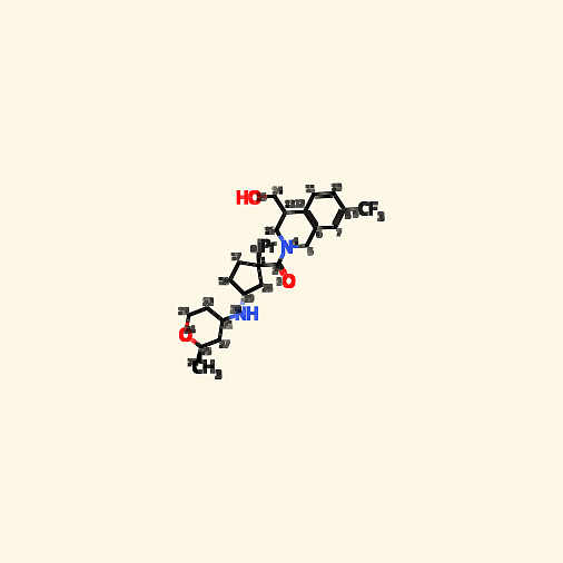 CC(C)[C@]1(C(=O)N2Cc3cc(C(F)(F)F)ccc3C(CO)C2)CC[C@@H](NC2CCO[C@H](C)C2)C1